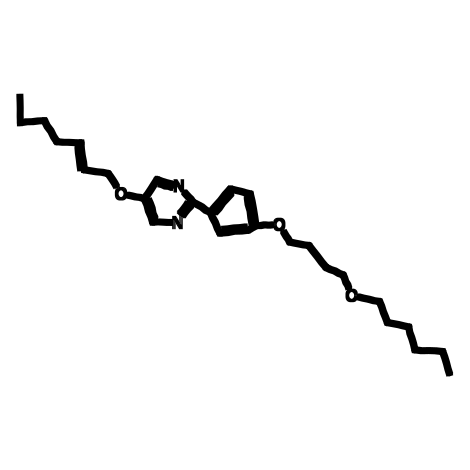 CCCC/C=C/COc1cnc(-c2ccc(OCCCCOCCCCCC)cc2)nc1